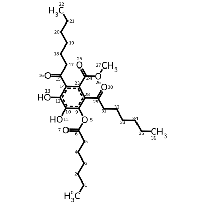 CCCCCCC(=O)Oc1c(O)c(O)c(C(=O)CCCCCC)c(C(=O)OC)c1C(=O)CCCCCC